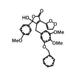 COc1ccc(C2(O)OC(=O)C(C3=CCOO3)=C2Cc2cc(OC)c(OC)c(OCc3ccccc3)c2)cc1